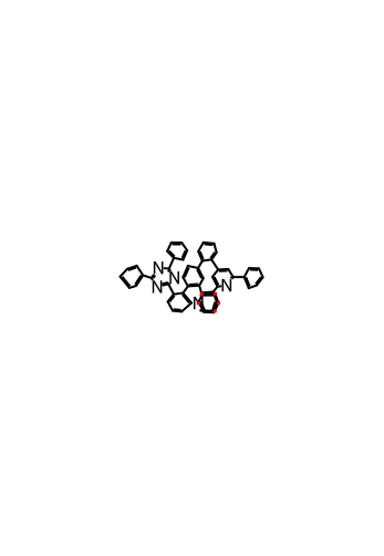 c1ccc(-c2cc(-c3ccccc3-c3ccc(-c4ccccc4-c4nc(-c5ccccc5)nc(-c5ccccc5)n4)c(-c4ccccn4)c3)cc(-c3ccccc3)n2)cc1